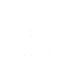 CC(C)n1nc(-c2cnn3ccc(N4CCCC4)cc23)ccc1=O